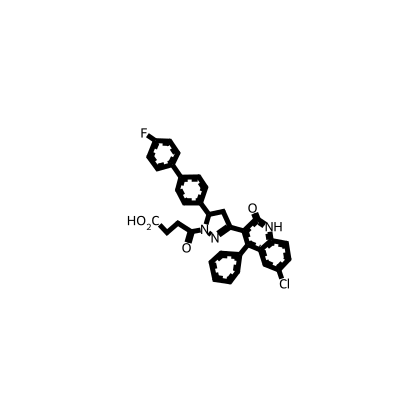 O=C(O)CCC(=O)N1N=C(c2c(-c3ccccc3)c3cc(Cl)ccc3[nH]c2=O)CC1c1ccc(-c2ccc(F)cc2)cc1